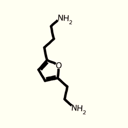 NCCCc1ccc(CCN)o1